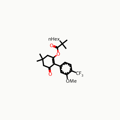 CCCCCCC(C)(C)C(=O)OC1=C(c2ccc(C(F)(F)F)c(OC)c2)C(=O)CC(C)(C)C1